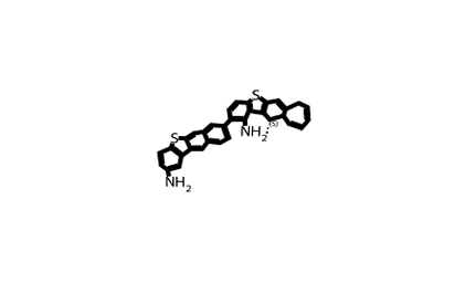 C[C@@H]1c2c(sc3ccc(-c4ccc5cc6c(cc5c4)sc4ccc(N)cc46)c(N)c23)C=C2CC=CC=CC21